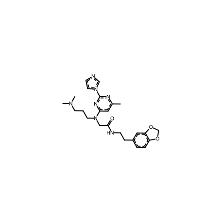 Cc1cc(N(CCCN(C)C)CC(=O)NCCc2ccc3c(c2)OCO3)nc(-n2ccnc2)n1